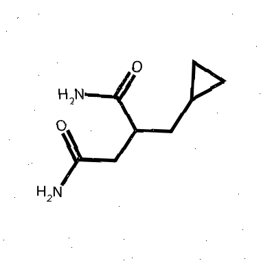 NC(=O)CC(CC1CC1)C(N)=O